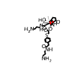 C[C@@H]1CC[C@@]23CCC(=O)[C@H]2[C@]1(C)[C@H](OC(=O)CSc1ccc(CC(=O)NCCCN)cc1)C[C@](C)(C(=O)NCCCN)[C@@H](O)[C@@H]3C